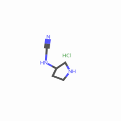 Cl.N#CNC1CCNC1